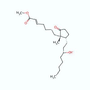 CCCCCC(O)CC[C@H]1CCC(=O)[C@@]1(C)CCCCC=CC(=O)OC